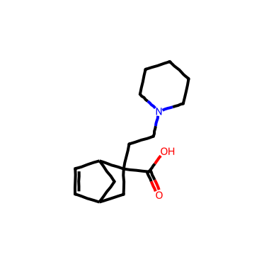 O=C(O)C1(CCN2CCCCC2)CC2C=CC1C2